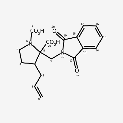 C=CCC1CCN(C(=O)O)C1(CN1C(=O)c2ccccc2C1=O)C(=O)O